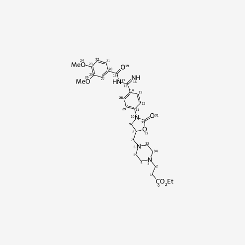 CCOC(=O)CCN1CCN(CC2CN(c3ccc(C(=N)NC(=O)c4ccc(OC)c(OC)c4)cc3)C(=O)O2)CC1